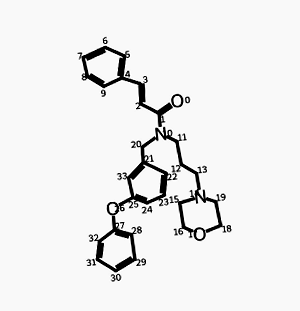 O=C(/C=C/c1ccccc1)N(CCCN1CCOCC1)Cc1cccc(Oc2ccccc2)c1